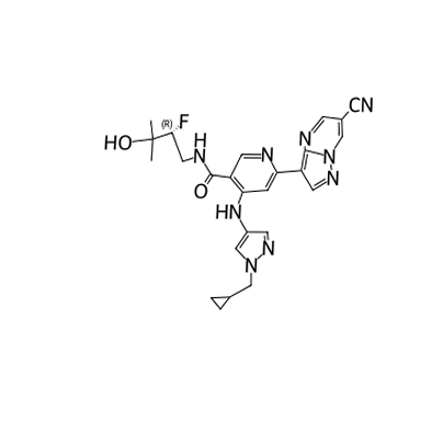 CC(C)(O)[C@H](F)CNC(=O)c1cnc(-c2cnn3cc(C#N)cnc23)cc1Nc1cnn(CC2CC2)c1